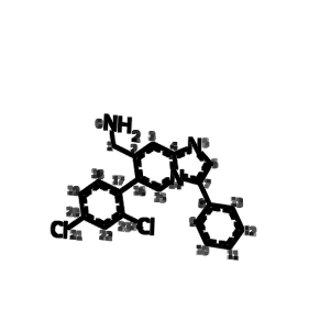 NCc1cc2ncc(-c3ccccc3)n2cc1-c1ccc(Cl)cc1Cl